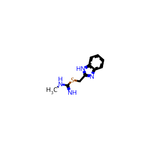 CNC(=N)SCc1nc2ccccc2[nH]1